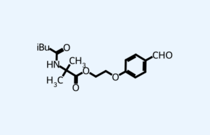 CCC(C)C(=O)NC(C)(C)C(=O)OCCOc1ccc(C=O)cc1